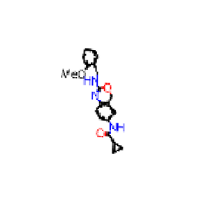 COc1ccccc1CNC1=Nc2ccc(NC(=O)C3CC3)cc2CO1